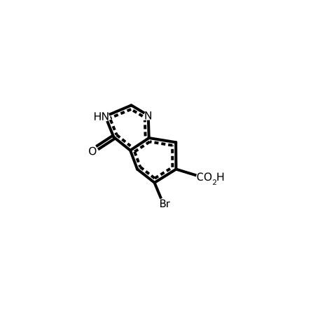 O=C(O)c1cc2nc[nH]c(=O)c2cc1Br